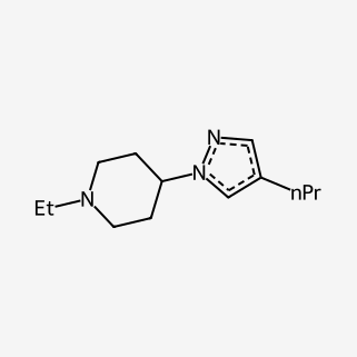 CCCc1cnn(C2CCN(CC)CC2)c1